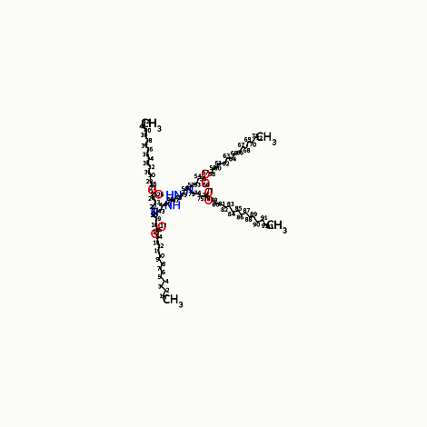 CCCCCCCCCCCCCCCOC(=O)CCCN(CCCC(=O)OCCCCCCCCCCCCCCC)CCNCCNCCN(CCCC(=O)OCCCCCCCCCCCCCCC)CCCC(=O)OCCCCCCCCCCCCCCC